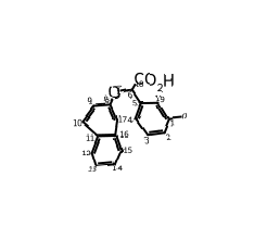 Cc1cccc(C(Oc2ccc3ccccc3c2)C(=O)O)c1